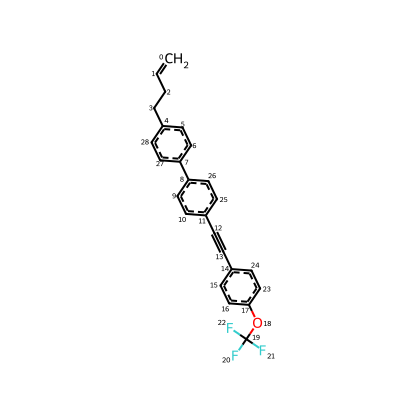 C=CCCc1ccc(-c2ccc(C#Cc3ccc(OC(F)(F)F)cc3)cc2)cc1